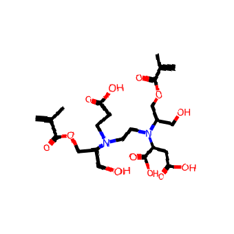 C=C(C)C(=O)OCC(CO)N(CCC(=O)O)CCN(C(CO)COC(=O)C(=C)C)C(CC(=O)O)C(=O)O